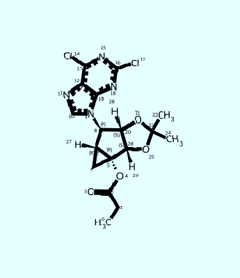 CCC(=O)O[C@]12C[C@@H]1[C@@H](n1cnc3c(Cl)nc(Cl)nc31)[C@@H]1OC(C)(C)O[C@@H]12